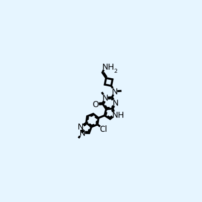 CN(c1nc2[nH]cc(-c3ccc4nn(C)cc4c3Cl)c2c(=O)n1C)C1CC(=CN)C1